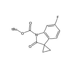 CC(C)(C)OC(=O)N1C(=O)C2(CC2)c2ccc(F)cc21